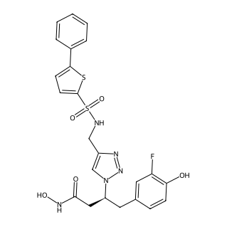 O=C(C[C@H](Cc1ccc(O)c(F)c1)n1cc(CNS(=O)(=O)c2ccc(-c3ccccc3)s2)nn1)NO